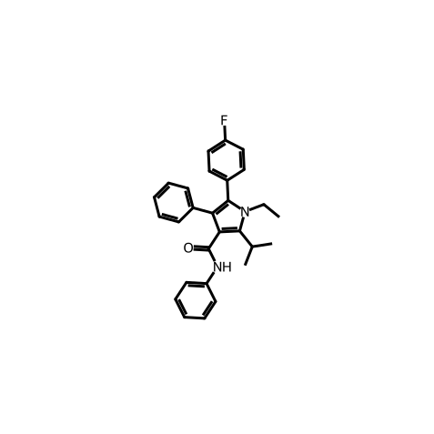 CCn1c(-c2ccc(F)cc2)c(-c2ccccc2)c(C(=O)Nc2ccccc2)c1C(C)C